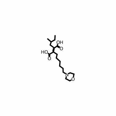 CCC(C)CC(C(=O)O)=C(CCCCCCN1CCOCC1)C(=O)O